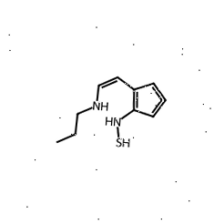 CCCN/C=C\C1=C(NS)C=C=C1